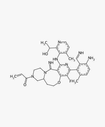 C=CC(=O)N1CCN2C(=N)c3c(Nc4c(C)ccnc4C(C)O)nc(-c4c(C)ccc(N)c4C=N)c(F)c3OCCC2C1